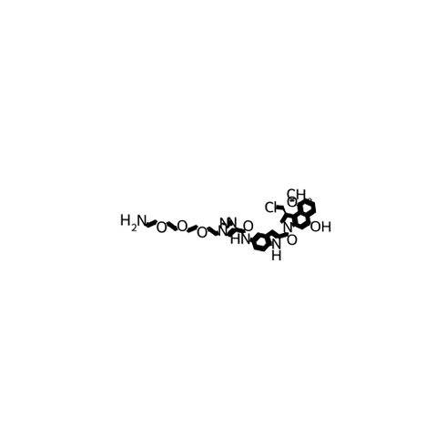 COc1cccc2c(O)cc3c(c12)[C@H](CCl)CN3C(=O)c1cc2cc(NC(=O)c3cn(CCOCCOCCOCCN)nn3)ccc2[nH]1